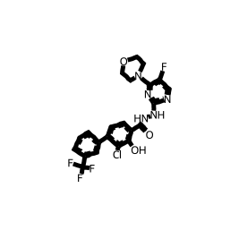 O=C(NNc1ncc(F)c(N2CCOCC2)n1)c1ccc(-c2cccc(C(F)(F)F)c2)c(Cl)c1O